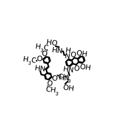 CCOc1ccc(/C=C2\NCCc3cc(OCC)c(OCC)cc32)cc1OCC.O=C1c2c(O)ccc(O)c2C(=O)c2c(NCCNCCO)ccc(NCCNCCO)c21